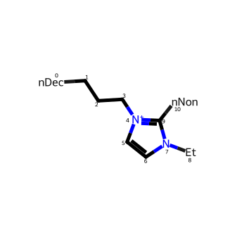 CCCCCCCCCCCCC[n+]1ccn(CC)c1CCCCCCCCC